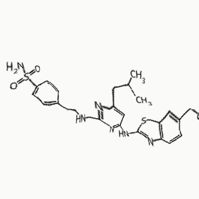 CCc1ccc2nc(Nc3cc(CC(C)C)nc(NCCc4ccc(S(N)(=O)=O)cc4)n3)sc2c1